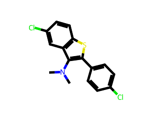 CN(C)c1c(-c2ccc(Cl)cc2)sc2ccc(Cl)cc12